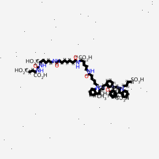 CC1(C)C(/C=C/C2=C(Oc3ccc(S(=O)(=O)O)cc3)C(=C/C=C3/N(CCCCS(=O)(=O)O)c4ccccc4C3(C)C)/CCC2)=[N+](CCCCCC(=O)NCCCCC(NC(=O)CCCCCCC(=O)NCCCC[C@H](NC(=O)N[C@@H](CCC(=O)O)C(=O)O)C(=O)O)C(=O)O)c2ccccc21